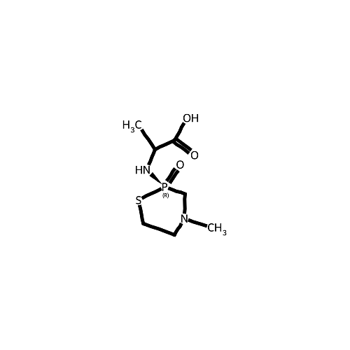 CC(N[P@@]1(=O)CN(C)CCS1)C(=O)O